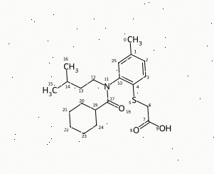 Cc1ccc(SCC(=O)O)c(N(CCC(C)C)C(=O)C2CCCCC2)c1